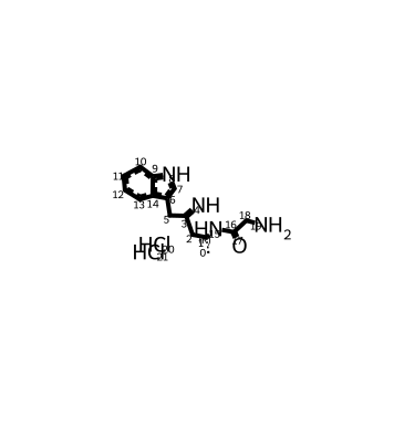 C[C@H](CC(=N)Cc1c[nH]c2ccccc12)NC(=O)CN.Cl.Cl